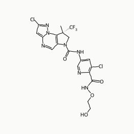 C[C@@]1(C(F)(F)F)CN(C(=O)Nc2cnc(C(=O)NOCCO)c(Cl)c2)c2cnc3cc(Cl)nn3c21